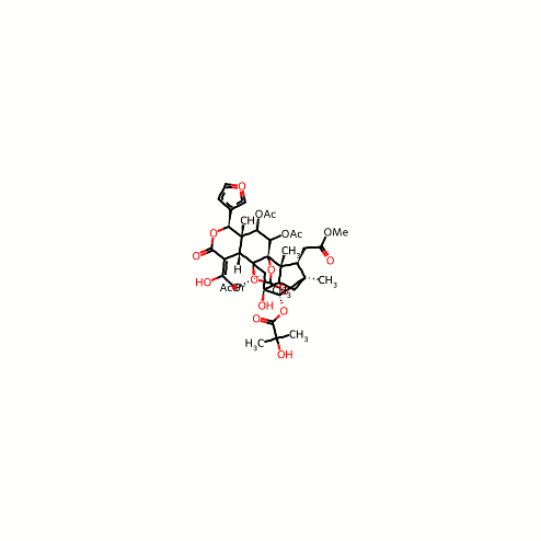 COC(=O)C[C@H]1[C@@]2(C)C[C@@]34O[C@]5(C)O[C@]6([C@@H]7/C(=C(/O)C(C)C)C(=O)O[C@@H](c8ccoc8)[C@]7(C)C(OC(C)=O)C(OC(C)=O)[C@]6(O5)[C@]13C)[C@H](OC(C)=O)[C@@]4(O)[C@H]2OC(=O)C(C)(C)O